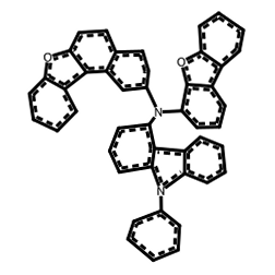 c1ccc(-n2c3ccccc3c3c(N(c4ccc5ccc6oc7ccccc7c6c5c4)c4cccc5c4oc4ccccc45)cccc32)cc1